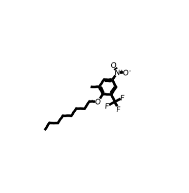 CCCCCCCCOc1c(C)cc([N+](=O)[O-])cc1C(F)(F)F